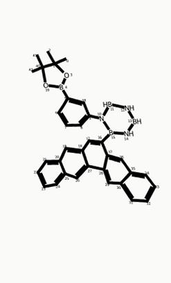 CC1(C)OB(c2cccc(N3BNBNB3c3cc4cc5ccccc5cc4c4cc5ccccc5cc34)c2)OC1(C)C